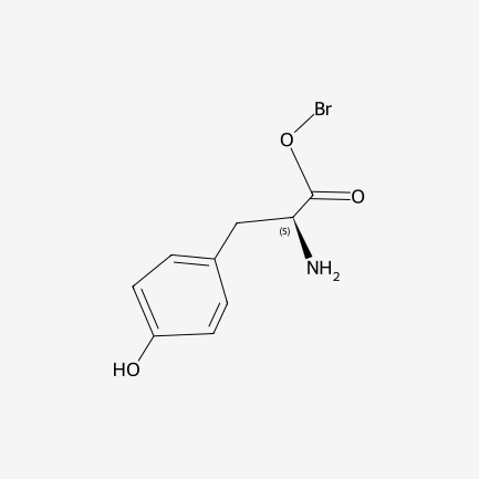 N[C@@H](Cc1ccc(O)cc1)C(=O)OBr